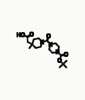 CC1(CC(=O)O)CCN(C(=O)N2CCN(C(=O)OC(C)(C)C)CC2)CC1